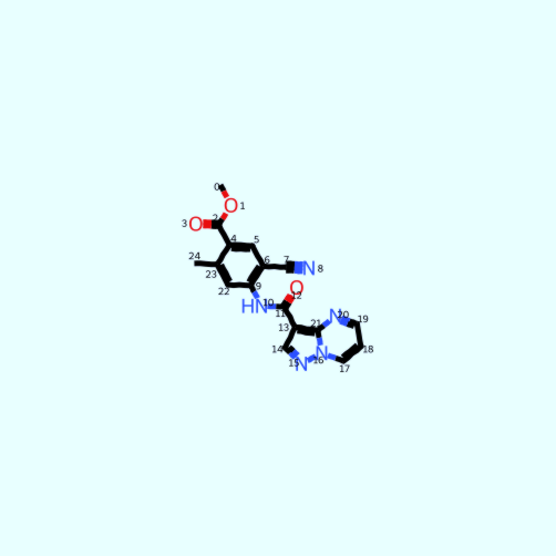 COC(=O)c1cc(C#N)c(NC(=O)c2cnn3cccnc23)cc1C